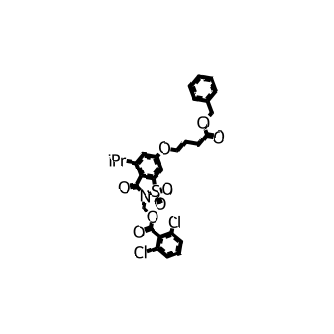 CC(C)c1cc(OCCCC(=O)OCc2ccccc2)cc2c1C(=O)N(COC(=O)c1c(Cl)cccc1Cl)S2(=O)=O